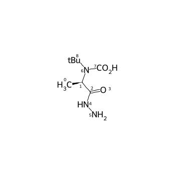 C[C@H](C(=O)NN)N(C(=O)O)C(C)(C)C